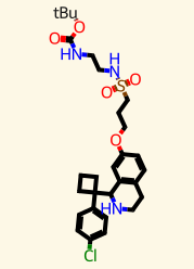 CC(C)(C)OC(=O)NCCNS(=O)(=O)CCCOc1ccc2c(c1)C(C1(c3ccc(Cl)cc3)CCC1)NCC2